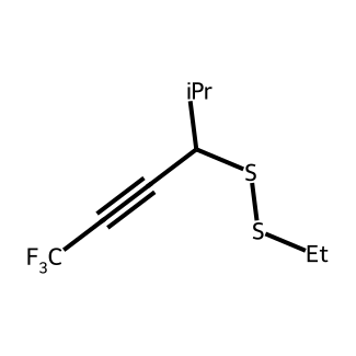 CCSSC(C#CC(F)(F)F)C(C)C